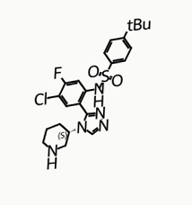 CC(C)(C)c1ccc(S(=O)(=O)Nc2cc(F)c(Cl)cc2-c2nncn2[C@H]2CCCNC2)cc1